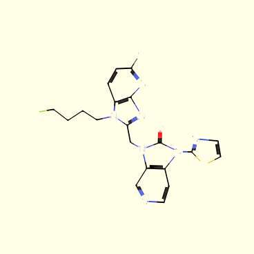 O=c1n(Cc2nc3nc(Cl)ccc3n2CCCCF)c2cnccc2n1-c1nccs1